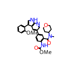 COC(=O)Nc1ccc(-c2cnc3[nH]cc(-c4ccccc4OC)c3c2)cc1C(=O)N(C)C1CCOCC1